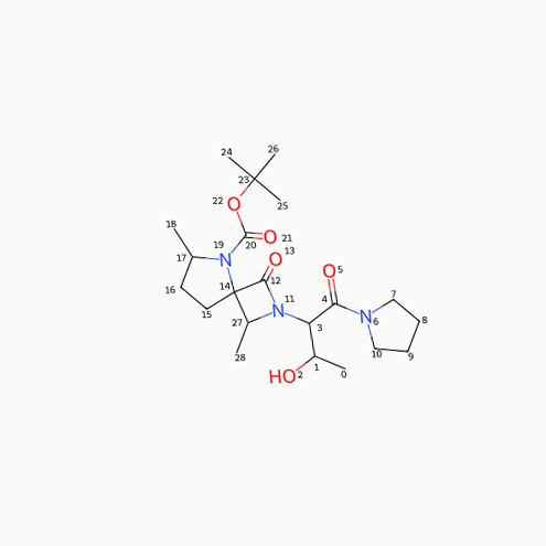 CC(O)C(C(=O)N1CCCC1)N1C(=O)C2(CCC(C)N2C(=O)OC(C)(C)C)C1C